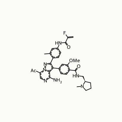 C=C(F)C(=O)Nc1ccc(-c2nn3c(C(C)=O)cnc(N)c3c2-c2ccc(C(=O)NC[C@H]3CCCN3C)c(OC)c2)c(C)c1